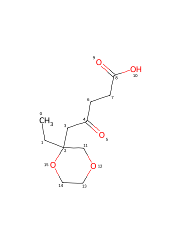 CCC1(CC(=O)CCC(=O)O)COCCO1